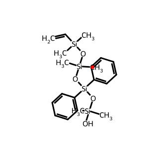 C=C[Si](C)(C)O[Si](C)(C)O[Si](O[Si](C)(C)O)(c1ccccc1)c1ccccc1